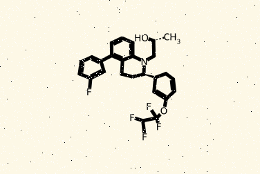 C[C@@H](O)CN1c2cccc(-c3cccc(F)c3)c2CC[C@@H]1C1C=C(OC(F)(F)C(F)F)C=CC1